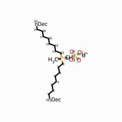 CCCCCCCCCCCCCCCCCC[P+](C)(C)CCCCCCCCCCCCCCCCCC.O=S(=O)([O-])[O-].[H+]